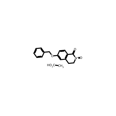 CC(=O)O.O=C1c2ccc(OCc3ccccc3)cc2CC[N+]1=O